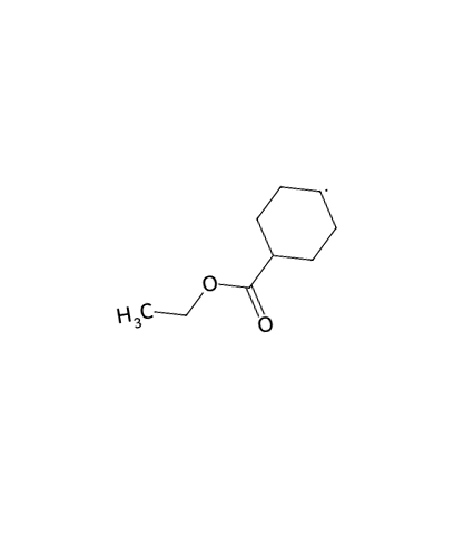 CCOC(=O)C1CC[CH]CC1